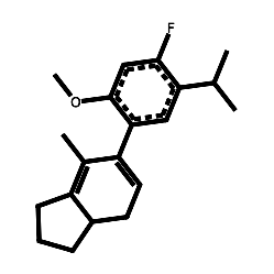 COc1cc(F)c(C(C)C)cc1C1=CCC2CCCC2=C1C